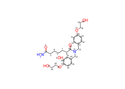 NC(=O)CC[C@@H](O)CCC(=O)N(Cc1ccc(OCCO)cc1)Cc1ccc(OCCO)cc1